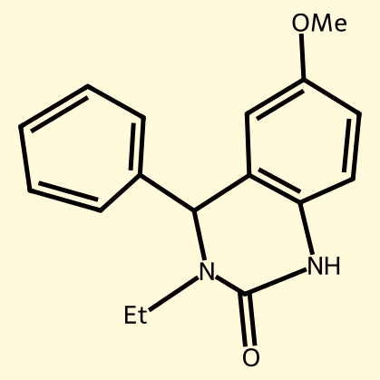 CCN1C(=O)Nc2ccc(OC)cc2C1c1ccccc1